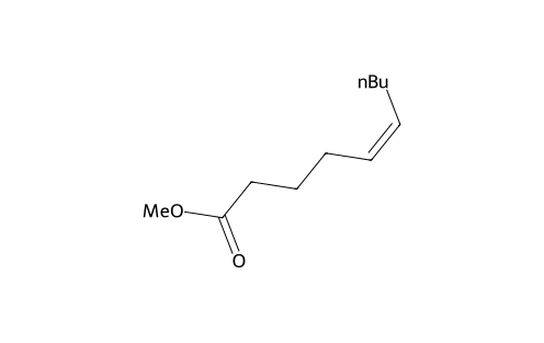 CCCC/C=C\CCCC(=O)OC